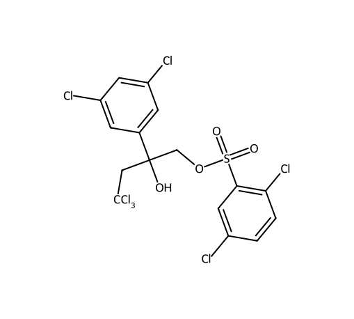 O=S(=O)(OCC(O)(CC(Cl)(Cl)Cl)c1cc(Cl)cc(Cl)c1)c1cc(Cl)ccc1Cl